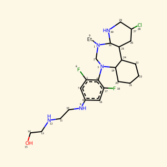 CCN1CN(c2c(F)cc(NCCNCCO)cc2F)C2CCCCC2C2CC(Cl)CNC21